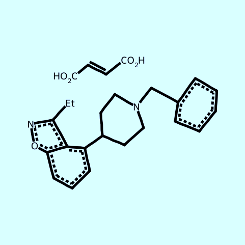 CCc1noc2cccc(C3CCN(Cc4ccccc4)CC3)c12.O=C(O)C=CC(=O)O